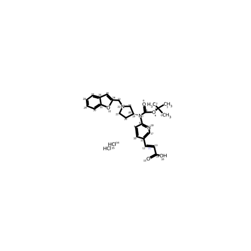 CC(C)(C)OC(=O)N(c1ccc(/C=C/C(=O)O)cn1)[C@@H]1CCN(Cc2cc3ccccc3o2)C1.Cl.Cl